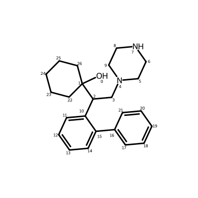 OC1(C(CN2CCNCC2)c2ccccc2-c2ccccc2)CCCCC1